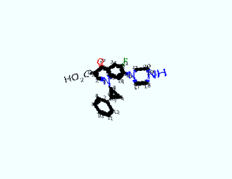 O=C(O)c1cn([C@H]2C[C@@H]2C2C=CC=CC2)c2cc(N3CCNCC3)c(F)cc2c1=O